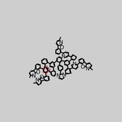 Cc1ccc2c(n1)oc1c(-c3ccc(-c4ccccc4-c4cc(-c5ccccc5-c5ccc(-c6cccc7c6oc6nc(C)ccc67)nc5)cc(-c5cccc(-c6cc(-c7ccccc7-c7ccc(-c8cccc9c8oc8nc(C)ccc89)nc7)cc(-c7ccccc7-c7ccc(-c8cccc9c8oc8nc(C)ccc89)nc7)c6)c5-c5ccc(-c6ncccn6)cc5)c4)cn3)cccc12